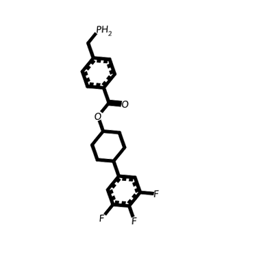 O=C(OC1CCC(c2cc(F)c(F)c(F)c2)CC1)c1ccc(CP)cc1